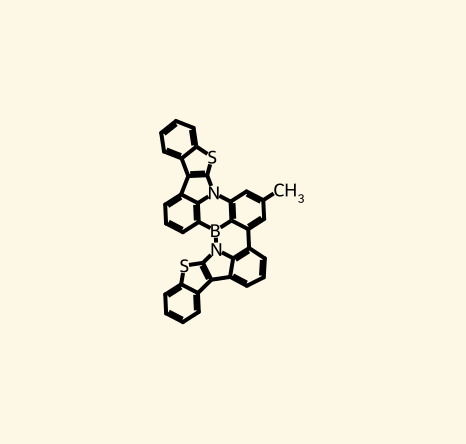 Cc1cc2c3c(c1)-n1c4sc5ccccc5c4c4cccc(c41)B3n1c3sc4ccccc4c3c3cccc-2c31